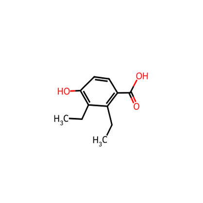 CCc1c(O)ccc(C(=O)O)c1CC